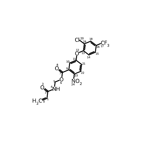 C=CC(=O)NCOC(=O)c1cc(Oc2ccc(C(F)(F)F)cc2Cl)ccc1[N+](=O)[O-]